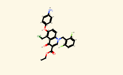 CCOC(=O)c1cn(Cc2c(F)cccc2F)c2ccc(Oc3ccc(N)cc3)c(CCl)c2c1=O